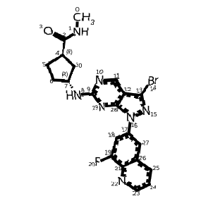 CNC(=O)[C@@H]1CC[C@@H](Nc2ncc3c(Br)nn(-c4cc(F)c5ncccc5c4)c3n2)C1